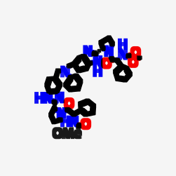 COC(=O)N[C@@H](C(=O)N1CCC[C@H]1c1nc2cc(CN(Cc3ccc4[nH]c([C@@H]5CCCN5C(=O)[C@H](NC5OCO5)c5ccccc5)nc4c3)c3ccccc3)ccc2[nH]1)c1ccccc1